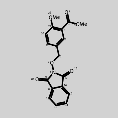 COC(=O)c1cc(CON2C(=O)c3ccccc3C2=O)ccc1OC